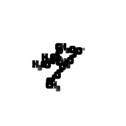 COCCOCCOCCOCCC(=O)[O-].COCC[N+](C)(C)CCOC